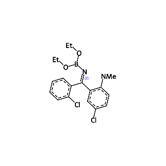 CCOB(/N=C(\c1ccccc1Cl)c1cc(Cl)ccc1NC)OCC